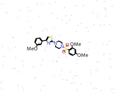 COc1cccc(-c2csc(N3CCN(S(=O)(=O)c4ccc(OC)cc4OC)CC3)n2)c1